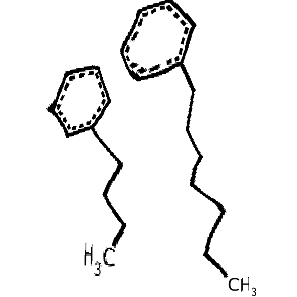 CCCCCCCc1ccccc1.CCCCc1ccccc1